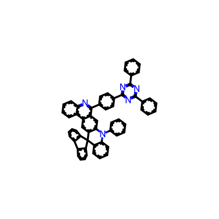 c1ccc(-c2nc(-c3ccccc3)nc(-c3ccc(-c4nc5ccccc5c5cc6c(cc45)N(c4ccccc4)c4ccccc4C64c5ccccc5-c5ccccc54)cc3)n2)cc1